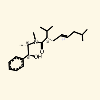 CC(C)C/C=C/C[C@H](C(=O)N(C)[C@@H](C)[C@@H](O)c1ccccc1)C(C)C